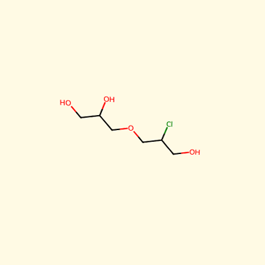 OCC(O)COCC(Cl)CO